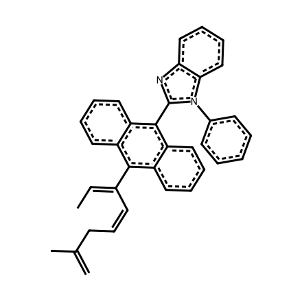 C=C(C)C/C=C\C(=C/C)c1c2ccccc2c(-c2nc3ccccc3n2-c2ccccc2)c2ccccc12